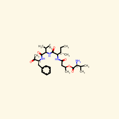 CC[C@H](C)C(NC(=O)CC(C)OC(=O)[C@@H](N)C(C)C)C(=O)NC(C(=O)N[C@@H](Cc1ccccc1)C(C)=O)C(C)C